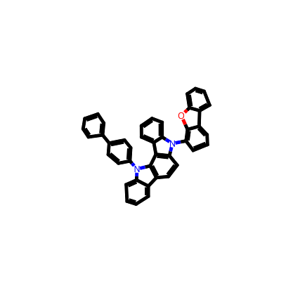 c1ccc(-c2ccc(-n3c4ccccc4c4ccc5c(c6ccccc6n5-c5cccc6c5oc5ccccc56)c43)cc2)cc1